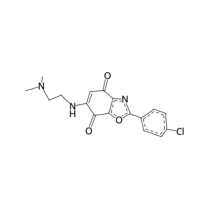 CN(C)CCNC1=CC(=O)c2nc(-c3ccc(Cl)cc3)oc2C1=O